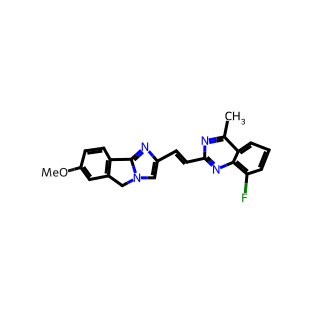 COc1ccc2c(c1)Cn1cc(C=Cc3nc(C)c4cccc(F)c4n3)nc1-2